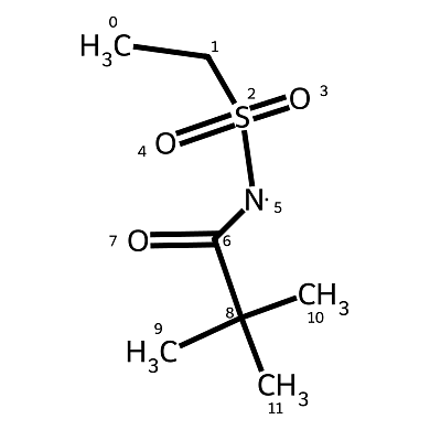 CCS(=O)(=O)[N]C(=O)C(C)(C)C